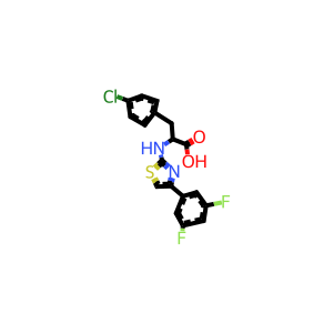 O=C(O)C(Cc1ccc(Cl)cc1)Nc1nc(-c2cc(F)cc(F)c2)cs1